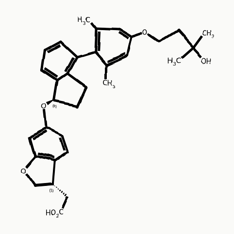 Cc1cc(OCCC(C)(C)O)cc(C)c1-c1cccc2c1CC[C@H]2Oc1ccc2c(c1)OC[C@H]2CC(=O)O